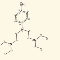 CCN(CC)CCN(CCN(CC)CC)c1ccc(N)cc1